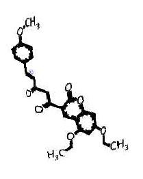 CCOc1cc(OCC)c2cc(C(=O)CC(=O)/C=C/c3ccc(OC)cc3)c(=O)oc2c1